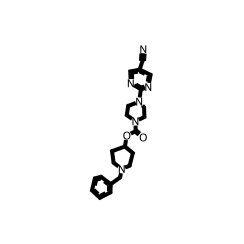 N#Cc1cnc(N2CCN(C(=O)OC3CCN(Cc4ccccc4)CC3)CC2)nc1